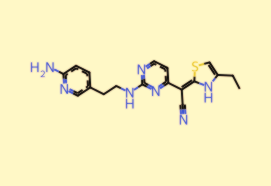 CCC1=CSC(=C(C#N)c2ccnc(NCCc3ccc(N)nc3)n2)N1